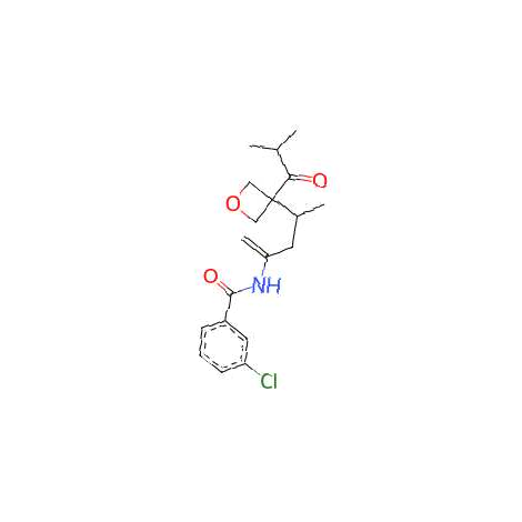 C=C(CC(C)C1(C(=O)C(C)C)COC1)NC(=O)c1cccc(Cl)c1